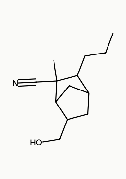 CCCC1C2CC(CO)C(C2)C1(C)C#N